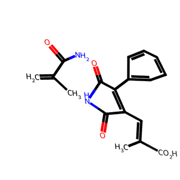 C=C(C)C(N)=O.CC(=CC1=C(c2ccccc2)C(=O)NC1=O)C(=O)O